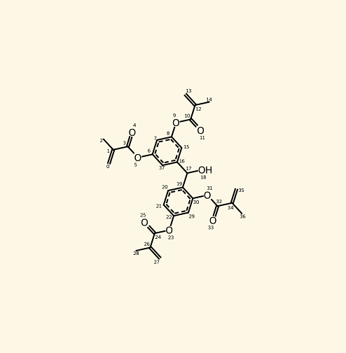 C=C(C)C(=O)Oc1cc(OC(=O)C(=C)C)cc(C(O)c2ccc(OC(=O)C(=C)C)cc2OC(=O)C(=C)C)c1